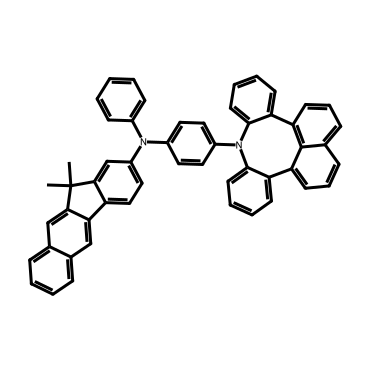 CC1(C)c2cc(N(c3ccccc3)c3ccc(N4c5ccccc5-c5cccc6cccc(c56)-c5ccccc54)cc3)ccc2-c2cc3ccccc3cc21